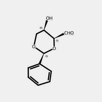 O=C[C@H]1O[C@@H](c2ccccc2)OC[C@H]1O